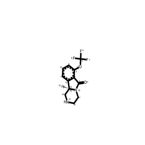 O=C1c2c(OC(F)(F)F)cccc2[C@@H]2CNCCN12